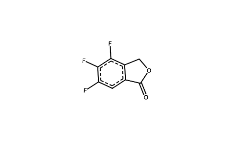 O=C1OCc2c1cc(F)c(F)c2F